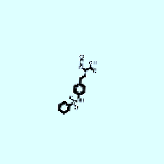 O=C=N[C@H](CCc1ccc(NS(=O)(=O)c2ccccc2)cc1)C(=O)O